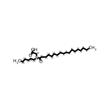 CCCCCCCCCCCCCCCCCC(=O)N(CCCCCC)CC(=O)O